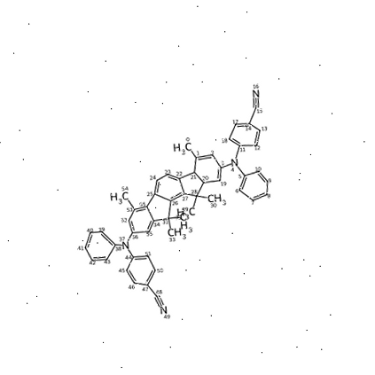 CC1=CC(N(c2ccccc2)c2ccc(C#N)cc2)=CC2C1c1ccc3c(c1C2(C)C)C(C)(C)c1cc(N(c2ccccc2)c2ccc(C#N)cc2)cc(C)c1-3